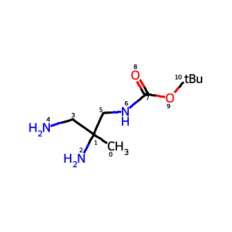 CC(N)(CN)CNC(=O)OC(C)(C)C